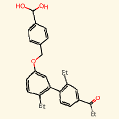 CCC(=O)c1ccc(-c2cc(OCc3ccc(C(O)O)cc3)ccc2CC)c(CC)c1